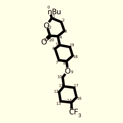 CCCCC1CCC(C2CCC(OCC3CCC(C(F)(F)F)CC3)CC2)C(=O)O1